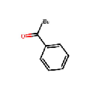 [CH2]CC(C)C(=O)c1ccccc1